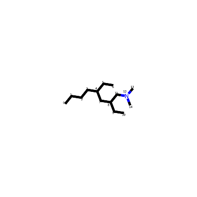 CCCCC(CC)CC(CC)CN(C)C